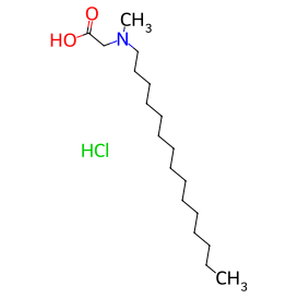 CCCCCCCCCCCCCCCN(C)CC(=O)O.Cl